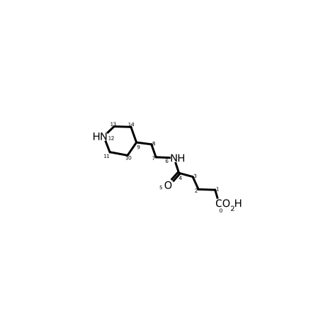 O=C(O)CCCC(=O)NCCC1CCNCC1